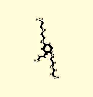 OCCOCCOc1ccc(OCCOCCO)c(CCO)c1